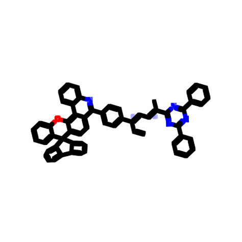 C=C/C(=C\C=C(/C)c1nc(-c2ccccc2)nc(-c2ccccc2)n1)c1ccc(-c2nc3ccccc3c3c4c(ccc23)C2(c3ccccc3O4)c3ccccc3-c3ccccc32)cc1